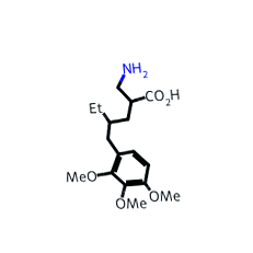 CCC(Cc1ccc(OC)c(OC)c1OC)CC(CN)C(=O)O